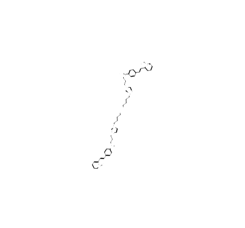 CN(CCCn1cc[n+](CCCCSSCCCC[n+]2ccn(CCCN(C)c3ccc(/C=C/c4cccc[n+]4C)cc3)c2)c1)c1ccc(/C=C/c2cccc[n+]2C)cc1